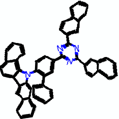 c1ccc(-c2cc(-c3nc(-c4ccc5ccccc5c4)nc(-c4ccc5ccccc5c4)n3)ccc2-n2c3cc4ccccc4cc3c3ccc4ccccc4c32)cc1